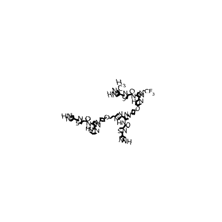 Cc1n[nH]cc1-c1nc(C(=O)Nc2cn(CC(F)(F)F)nc2-c2ccc(O[C@H]3C[C@@H](n4cc(NC(=O)c5csc(-c6cn[nH]c6)n5)c(-c5cnc(CCO[C@H]6C[C@@H](n7cc(NC(=O)c8csc(-c9cn[nH]c9)n8)c(-c8ncccn8)n7)C6)cn5)n4)C3)cn2)cs1